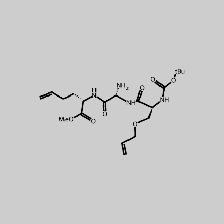 C=CCC[C@H](NC(=O)[C@H](N)NC(=O)[C@H](COCC=C)NC(=O)OC(C)(C)C)C(=O)OC